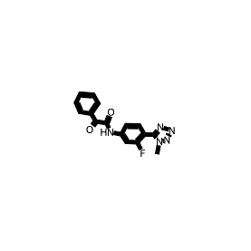 Cn1nnnc1-c1ccc(NC(=O)C(=O)c2ccccc2)cc1F